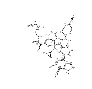 C#CC1CCN(c2nc(C(COC(=O)N(C)CCN(C)C(=O)O)(OC3CC3)c3ccccc3)c3cc(-c4cn(C)c(=O)c5[nH]ccc45)ccc3n2)CC1